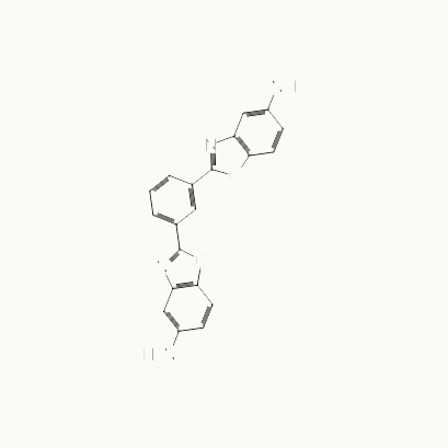 Nc1ccc2oc(-c3cccc(-c4nc5cc(N)ccc5o4)c3)nc2c1